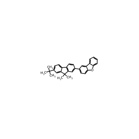 CC(C)(C)c1ccc2c(c1)C(C)(C)c1cc(-c3ccc4oc5ccccc5c4c3)ccc1-2